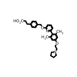 Cc1cc(OCCN2CCCC2)cc(C)c1-c1cccc(OCc2ccc(CCC(=O)O)cc2)n1